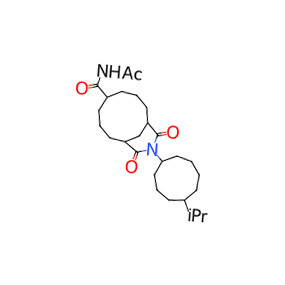 CC(=O)NC(=O)C1CCCC2CC(CCC1)C(=O)N(C1CCCCC(C(C)C)CCC1)C2=O